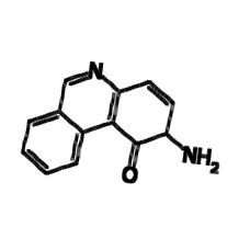 NC1C=Cc2ncc3ccccc3c2C1=O